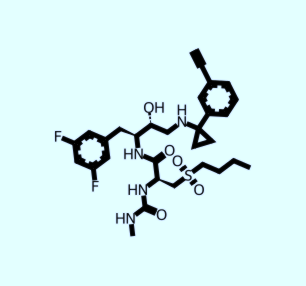 C#Cc1cccc(C2(NC[C@@H](O)[C@H](Cc3cc(F)cc(F)c3)NC(=O)[C@@H](CS(=O)(=O)CCCC)NC(=O)NC)CC2)c1